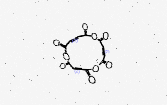 O=C1/C=C\C(=O)OC(=O)/C=C\C(=O)OC(=O)/C=C\C(=O)O1